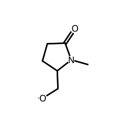 CN1C(=O)CCC1C[O]